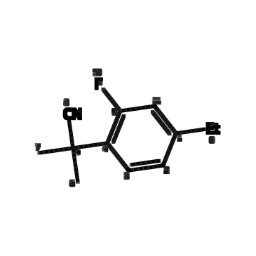 CCc1ccc(C(C)(C)C#N)c(F)c1